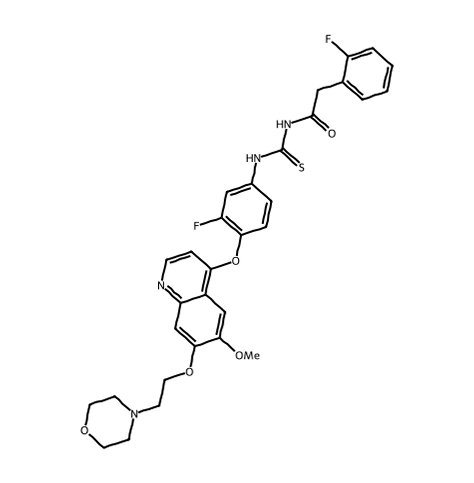 COc1cc2c(Oc3ccc(NC(=S)NC(=O)Cc4ccccc4F)cc3F)ccnc2cc1OCCN1CCOCC1